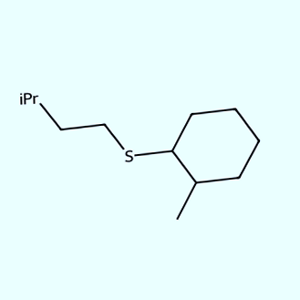 CC(C)CCSC1CCCCC1C